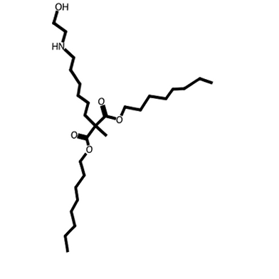 CCCCCCCCOC(=O)C(C)(CCCCCCNCCO)C(=O)OCCCCCCCC